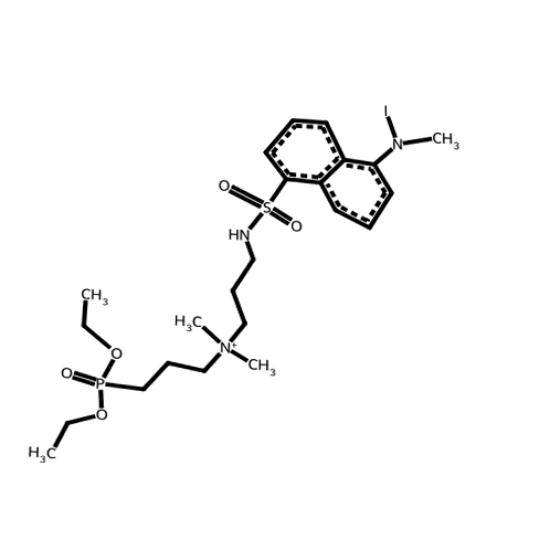 CCOP(=O)(CCC[N+](C)(C)CCCNS(=O)(=O)c1cccc2c(N(C)I)cccc12)OCC